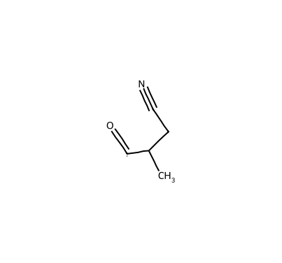 CC([C]=O)CC#N